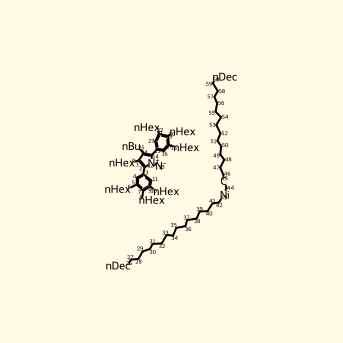 CCCCCCC1=C(c2cc(CCCCCC)c(CCCCCC)c(CCCCCC)c2)[N+](=[N-])C(c2cc(CCCCCC)c(CCCCCC)c(CCCCCC)c2)=C1CCCC.CCCCCCCCCCCCCCCCCCCCCCCCC[CH2][Ni][CH2]CCCCCCCCCCCCCCCCCCCCCCCCC